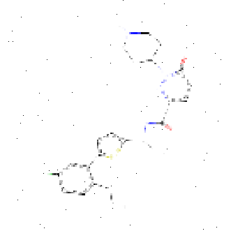 CNCc1ccc(Cl)cc1-c1ccc(C(C)NC(=O)c2ccc(=O)n(C3CCN(C(C)=O)CC3)n2)s1